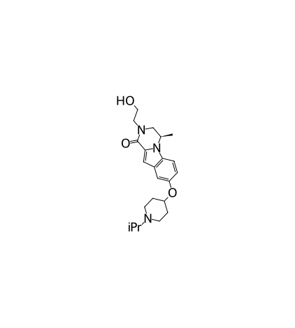 CC(C)N1CCC(Oc2ccc3c(c2)cc2n3[C@H](C)CN(CCO)C2=O)CC1